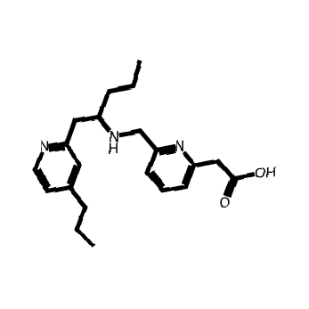 CCCc1ccnc(CC(CCC)NCc2cccc(CC(=O)O)n2)c1